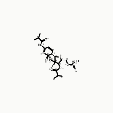 CC(C)C(=O)Nc1ccn([C@@H]2O[C@H](CO[PH](=O)O)C(OC(=O)C(C)C)C2(F)P)c(=O)n1